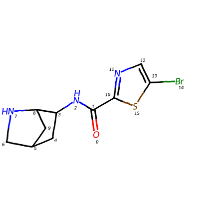 O=C(NC1CC2CNC1C2)c1ncc(Br)s1